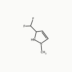 CN1C=CC(C(F)F)N1